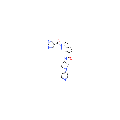 CN(C(=O)c1ccc2c(c1)C(NC(=O)c1cncnc1)CC2)C1CCN(c2ccncc2)CC1